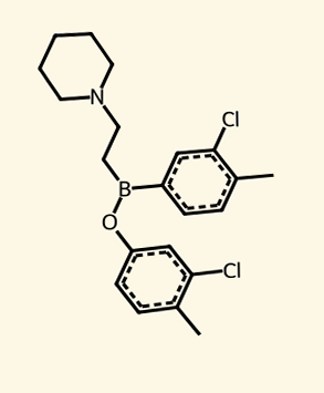 Cc1ccc(OB(CCN2CCCCC2)c2ccc(C)c(Cl)c2)cc1Cl